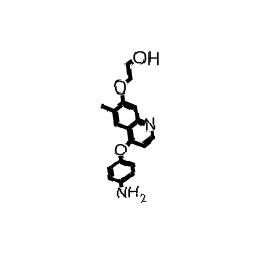 Cc1cc2c(Oc3ccc(N)cc3)ccnc2cc1OCCO